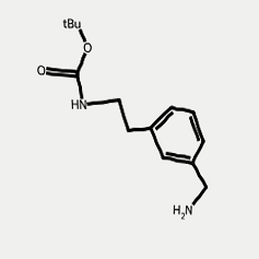 CC(C)(C)OC(=O)NCCc1cccc(CN)c1